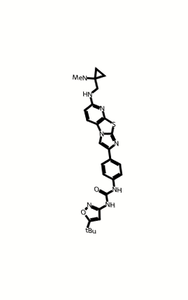 CNC1(CNc2ccc3c(n2)sc2nc(-c4ccc(NC(=O)Nc5cc(C(C)(C)C)on5)cc4)cn23)CC1